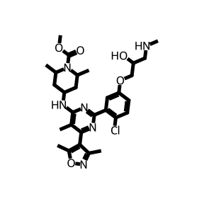 CNCC(O)COc1ccc(Cl)c(-c2nc(NC3CC(C)N(C(=O)OC)C(C)C3)c(C)c(-c3c(C)noc3C)n2)c1